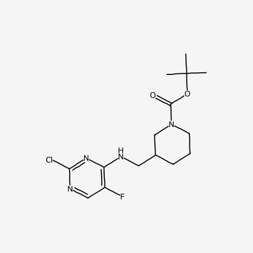 CC(C)(C)OC(=O)N1CCCC(CNc2nc(Cl)ncc2F)C1